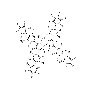 Cc1c(F)c(-c2c(F)c(-c3c(F)c(F)c(-c4c(F)c(F)c(F)c(F)c4F)c(F)c3F)c(F)c(-c3c(F)c(-c4c(F)c(F)c(-c5c(F)c(F)c(F)c(F)c5F)c(P)c4F)c(F)c(-c4c(F)c(F)c(-c5c(F)c(F)c(F)c(F)c5F)c(P)c4F)c3F)c2F)c(F)c(F)c1-c1c(F)c(F)c(F)c(F)c1F